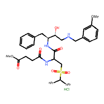 CCCC(CCC)S(=O)(=O)CC(NC(=O)CCC(=O)OC)C(=O)N[C@@H](Cc1ccccc1)[C@H](O)CNCc1cccc(OC)c1.Cl